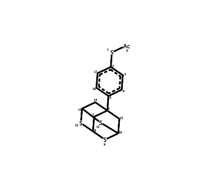 CC(=O)Sc1ccc(C23CC4SC(C2)SC(C3)S4)cc1